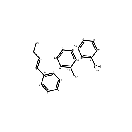 CCC=Cc1ccccc1.Cc1ccccc1.Oc1ccccc1